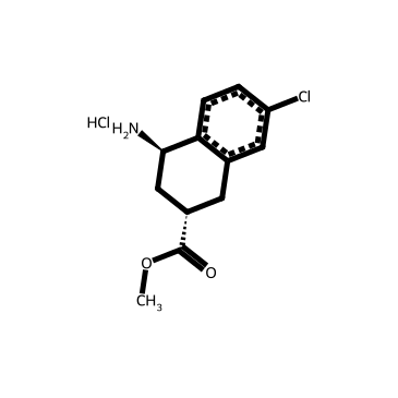 COC(=O)[C@H]1Cc2cc(Cl)ccc2[C@H](N)C1.Cl